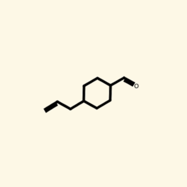 C=CCC1CCC([C]=O)CC1